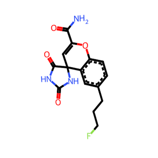 NC(=O)C1=CC2(NC(=O)NC2=O)c2cc(CCCF)ccc2O1